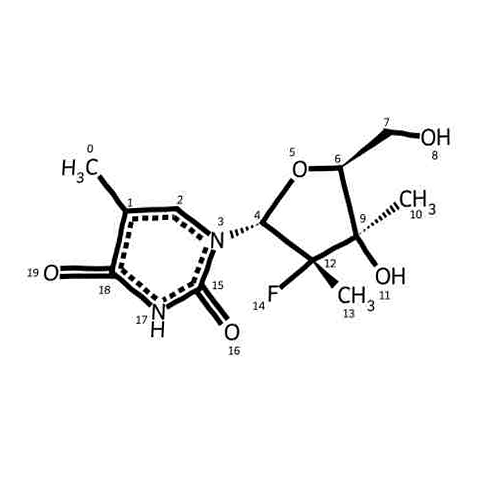 Cc1cn([C@@H]2O[C@@H](CO)[C@@](C)(O)[C@]2(C)F)c(=O)[nH]c1=O